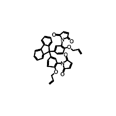 C=CCOc1ccc(C2(c3ccc(OCC=C)c(N4C(=O)C=CC4=O)c3)c3ccccc3-c3ccccc32)cc1N1C(=O)C=CC1=O